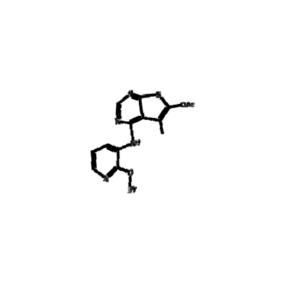 CC(=O)Oc1sc2ncnc(Nc3cccnc3OC(C)C)c2c1C